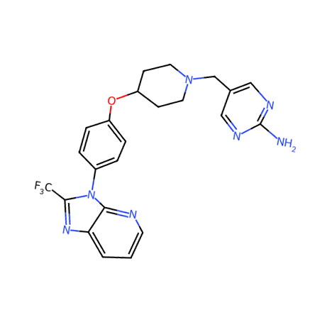 Nc1ncc(CN2CCC(Oc3ccc(-n4c(C(F)(F)F)nc5cccnc54)cc3)CC2)cn1